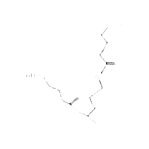 [CH2]CC(CCCNC(=O)CCCCCCCCCCCCC)NC(=O)CCCCCCCCCCCCC